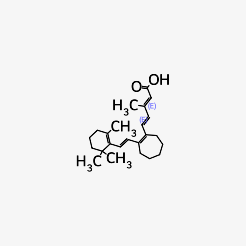 CC1=C(C=CC2=C(/C=C/C(C)=C/C(=O)O)CCCCC2)C(C)(C)CCC1